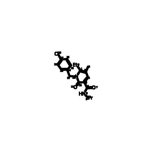 CCc1c(C)cc(C(=O)NC(C)C)c(=O)n1Cc1ccc(Cl)cc1